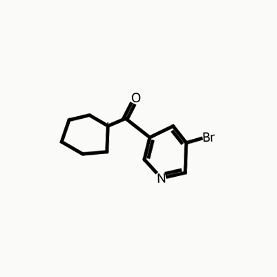 O=C([C]1CCCCC1)c1cncc(Br)c1